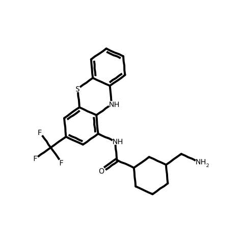 NCC1CCCC(C(=O)Nc2cc(C(F)(F)F)cc3c2Nc2ccccc2S3)C1